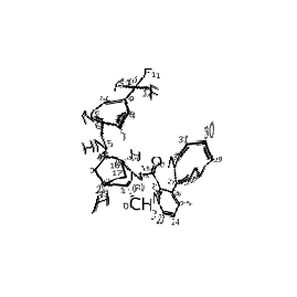 C[C@@H]1[C@H]2C[C@@H](Nc3ccc(C(F)(F)F)cn3)[C@H](C2)N1C(=O)c1ncccc1-c1ncccn1